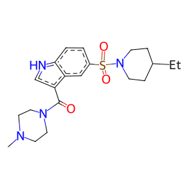 CCC1CCN(S(=O)(=O)c2ccc3[nH]cc(C(=O)N4CCN(C)CC4)c3c2)CC1